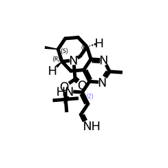 CN/C(=C\C=N)c1nc(C)nc2c1C[C@@H]1[C@@H](C)CC[C@@H]2CN1C(=O)OC(C)(C)C